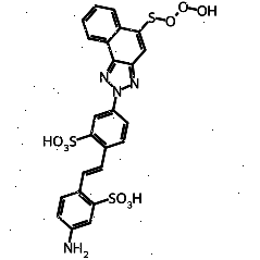 Nc1ccc(C=Cc2ccc(-n3nc4cc(SOOO)c5ccccc5c4n3)cc2S(=O)(=O)O)c(S(=O)(=O)O)c1